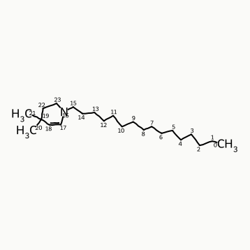 CCCCCCCCCCCCCCCCN1C=CC(C)(C)CC1